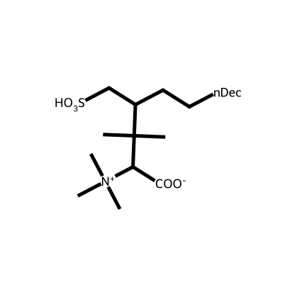 CCCCCCCCCCCCC(CS(=O)(=O)O)C(C)(C)C(C(=O)[O-])[N+](C)(C)C